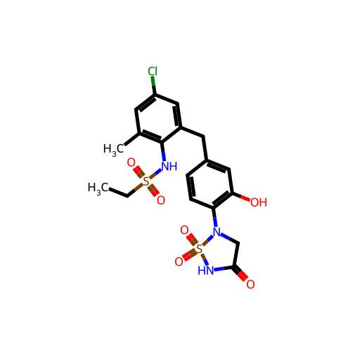 CCS(=O)(=O)Nc1c(C)cc(Cl)cc1Cc1ccc(N2CC(=O)NS2(=O)=O)c(O)c1